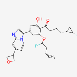 C=CCC(F)Oc1cc(-c2cnc3cc(C4COC4)ccn23)cc(O)c1C(=O)CCC[C@@H]1C[C@@H]1F